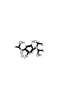 CC(O)Nc1ccc(N(C(C)O)C(C)O)cc1[N+](=O)[O-]